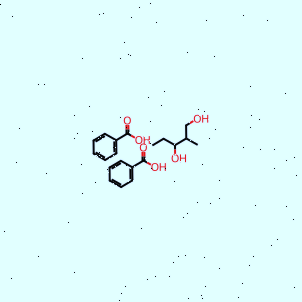 CCC(O)C(C)CO.O=C(O)c1ccccc1.O=C(O)c1ccccc1